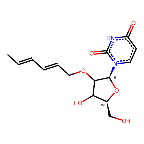 CC=CC=CCOC1C(O)[C@H](CO)O[C@@H]1n1ccc(=O)[nH]c1=O